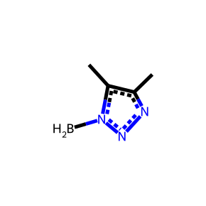 Bn1nnc(C)c1C